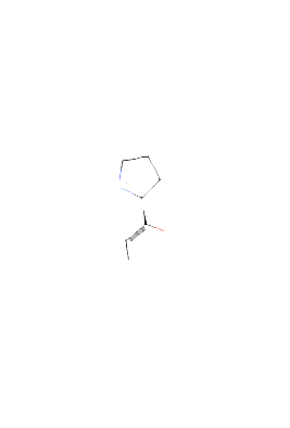 CC(C)(C)/C=C(\O)[C@@H]1CCCN1